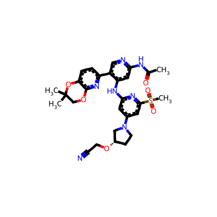 CC(=O)Nc1cc(Nc2cc(N3CC[C@H](OCC#N)C3)cc(S(C)(=O)=O)n2)c(-c2ccc3c(n2)OCC(C)(C)O3)cn1